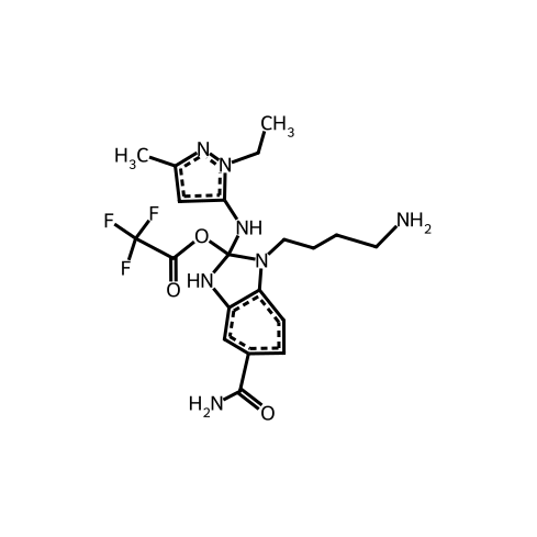 CCn1nc(C)cc1NC1(OC(=O)C(F)(F)F)Nc2cc(C(N)=O)ccc2N1CCCCN